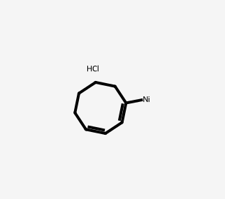 Cl.[Ni][C]1=CC=CCCCC1